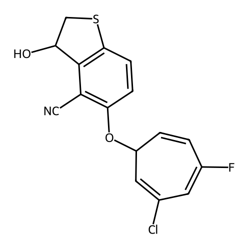 N#Cc1c(OC2C=CC(F)=CC(Cl)=C2)ccc2c1C(O)CS2